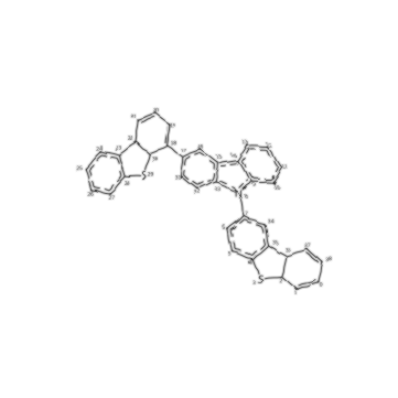 C1=CC2Sc3ccc(-n4c5ccccc5c5cc(C6=CC=CC7c8ccccc8SC67)ccc54)cc3C2C=C1